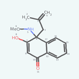 C=C(C)CC1(NOC)C(O)=CC(=O)c2ccccc21